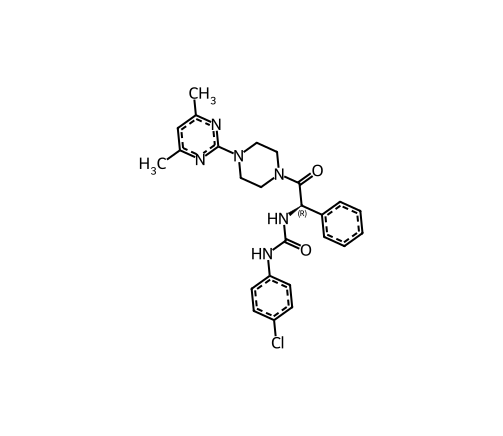 Cc1cc(C)nc(N2CCN(C(=O)[C@H](NC(=O)Nc3ccc(Cl)cc3)c3ccccc3)CC2)n1